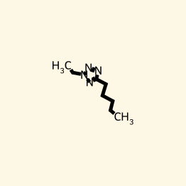 CCCCCc1nnn(CC)n1